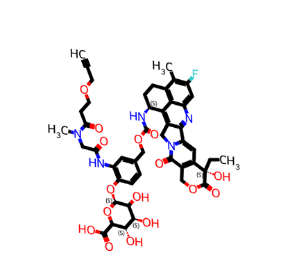 C#CCOCCC(=O)N(C)CC(=O)Nc1cc(COC(=O)N[C@H]2CCc3c(C)c(F)cc4nc5c(c2c34)Cn2c-5cc3c(c2=O)COC(=O)[C@]3(O)CC)ccc1O[C@@H]1OC(C(=O)O)[C@@H](O)[C@H](O)C1O